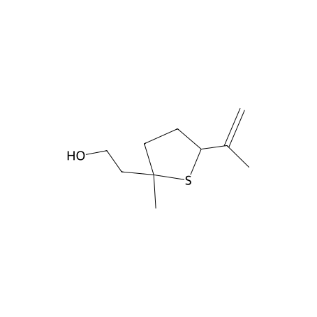 C=C(C)C1CCC(C)(CCO)S1